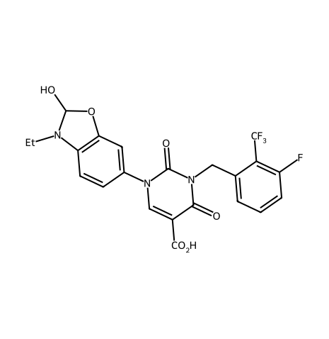 CCN1c2ccc(-n3cc(C(=O)O)c(=O)n(Cc4cccc(F)c4C(F)(F)F)c3=O)cc2OC1O